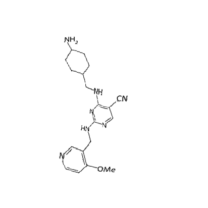 COc1ccncc1CNc1ncc(C#N)c(NCC2CCC(N)CC2)n1